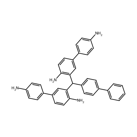 Nc1ccc(-c2ccc(N)c(C(c3ccc(-c4ccccc4)cc3)c3cc(-c4ccc(N)cc4)ccc3N)c2)cc1